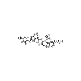 O=C(O)c1ccc2nc(CN3CCC(c4cccc5sc(Cc6ccc(Cl)cc6F)nc45)CC3)n(C[C@@H]3CCO3)c2n1